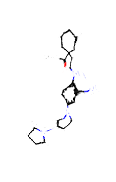 COC(=O)C1(CCNc2ccc(N3CC[C@@H](N4CCC[C@@H]4C)C3)cc2N)CCCCC1